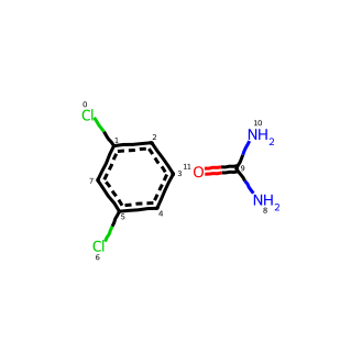 Clc1cccc(Cl)c1.NC(N)=O